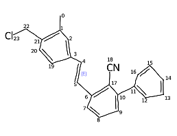 Cc1cc(/C=C/c2cccc(-c3ccccc3)c2C#N)ccc1CCl